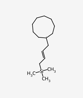 C[Si](C)(C)CC=CC[C]1CCCCCCCC1